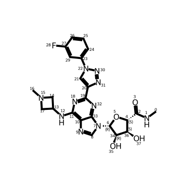 CNC(=O)[C@H]1O[C@@H](n2cnc3c(NC4CN(C)C4)nc(-c4cn(-c5cccc(F)c5)nn4)nc32)[C@H](O)[C@@H]1O